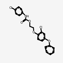 O=C(Nc1ccc(Cl)cc1)OCCOc1ccc(Oc2ccccc2)cc1Cl